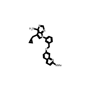 CNc1ccc2ccc(OCc3cccc(-n4cc(CC5CC5)c5c(N)ncnc54)c3)cc2n1